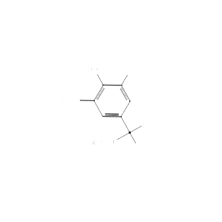 CCCCCC(C)(C)c1cc(C)c(O)c(O)c1